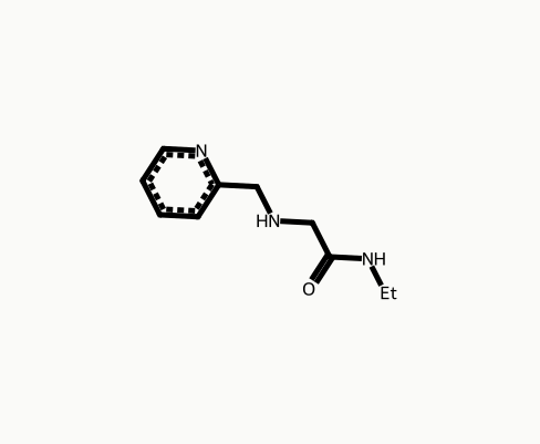 CCNC(=O)CNCc1ccccn1